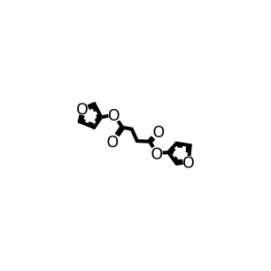 O=C(CCC(=O)Oc1ccoc1)Oc1ccoc1